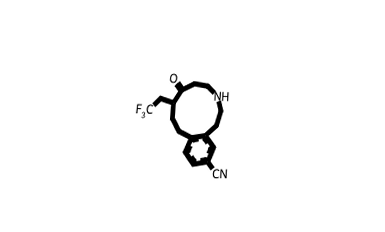 N#Cc1ccc2c(c1)CCNCCC(=O)C(CC(F)(F)F)CC2